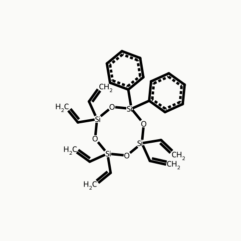 C=C[Si]1(C=C)O[Si](C=C)(C=C)O[Si](c2ccccc2)(c2ccccc2)O[Si](C=C)(C=C)O1